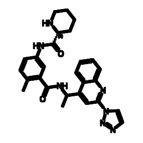 Cc1ccc(NC(=O)[C@H]2CCCCN2)cc1C(=O)NC(C)c1cc(-n2ccnn2)nc2ccccc12